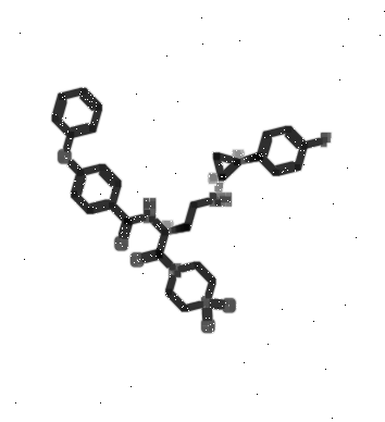 O=C(N[C@@H](CCN[C@@H]1C[C@H]1c1ccc(F)cc1)C(=O)N1CCS(=O)(=O)CC1)c1ccc(Oc2ccccc2)cc1